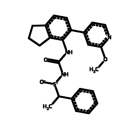 COc1cc(-c2ccc3c(c2NC(=O)N[S+]([O-])C(C)c2ccccc2)CCC3)ccn1